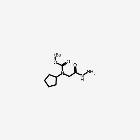 CC(C)(C)OC(=O)N(CC(=O)NN)C1CCCC1